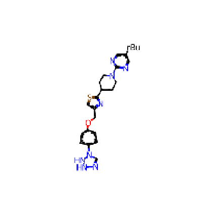 CCCCc1cnc(N2CCC(c3nc(COc4ccc(N5C=NNN5)cc4)cs3)CC2)nc1